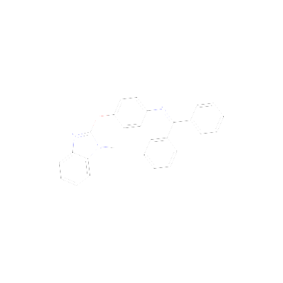 Cn1c(Oc2ccc(N=C(c3ccccc3)c3ccccc3)cc2)nc2ccccc21